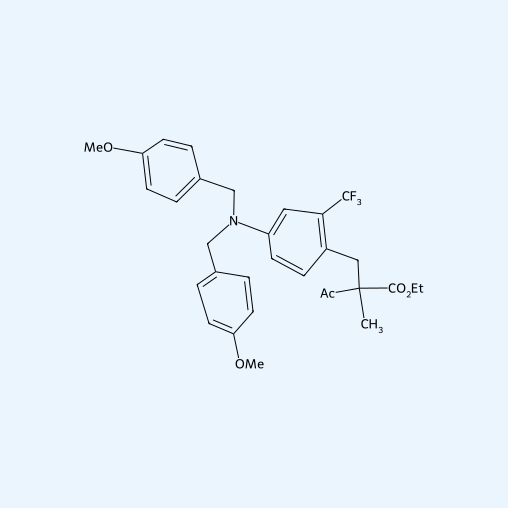 CCOC(=O)C(C)(Cc1ccc(N(Cc2ccc(OC)cc2)Cc2ccc(OC)cc2)cc1C(F)(F)F)C(C)=O